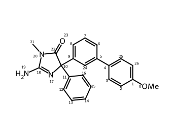 COc1ccc(-c2cccc(C3(c4ccccc4)N=C(N)N(C)C3=O)c2)cc1